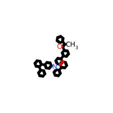 Cc1c(-c2cccc(-c3ccc(N(c4ccc(-c5ccccc5-c5ccccc5)cc4)c4ccccc4-c4ccccc4)cc3)c2)oc2ccccc12